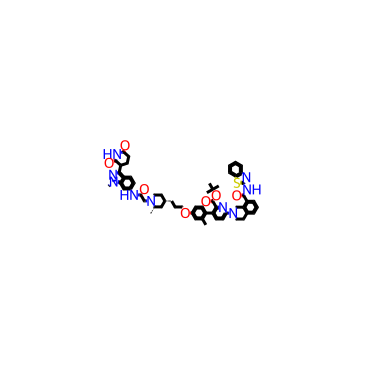 Cc1cc(OCCC[C@H]2CCN(CC(=O)Nc3ccc4c(C5CCC(=O)NC5=O)nn(C)c4c3)[C@@H](C)C2)ccc1-c1ccc(N2CCc3cccc(C(=O)Nc4nc5ccccc5s4)c3C2)nc1C(=O)OC(C)(C)C